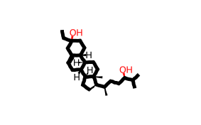 CC[C@]1(O)CC[C@H]2C(=CC[C@@H]3[C@@H]2CC[C@]2(C)[C@@H]([C@H](C)CC[C@@H](O)C(C)C)CC[C@@H]32)C1